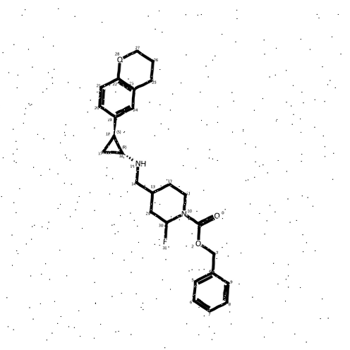 O=C(OCc1ccccc1)N1CCC(CN[C@@H]2C[C@H]2c2ccc3c(c2)CCCO3)CC1F